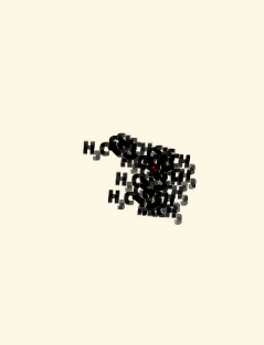 CC(C)CN(CC(C)C)C(=S)[S-].CC(C)CN(CC(C)C)C(=S)[S-].CC(C)CN(CC(C)C)C(=S)[S-].CC(C)CN(CC(C)C)C(=S)[S-].[Mo+4]